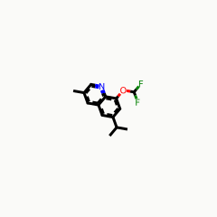 Cc1cnc2c(OC(F)F)cc(C(C)C)cc2c1